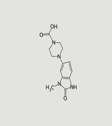 Cn1c(=O)[nH]c2ccc(N3CCN(C(=O)O)CC3)cc21